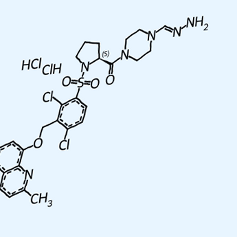 Cc1ccc2cccc(OCc3c(Cl)ccc(S(=O)(=O)N4CCC[C@H]4C(=O)N4CCN(C=NN)CC4)c3Cl)c2n1.Cl.Cl